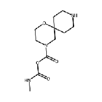 CNC(=O)OC(=O)N1CCOC2(CCNCC2)C1